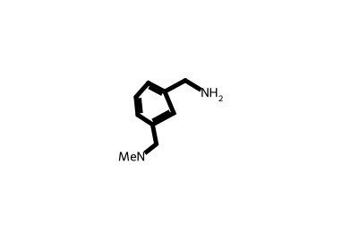 CNCc1cccc(CN)c1